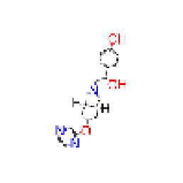 Oc1ccc(C(O)CN2C[C@H]3C[C@H](Oc4cnccn4)C[C@H]3C2)cc1